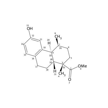 COC(=O)[C@@]1(C)CC[C@H](C)[C@@H]2c3cc(O)ccc3CC[C@H]21